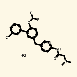 CN(C)CC(=O)Nc1ccc(Cc2ccc(OC(F)F)c(-c3cccc(Cl)c3)c2)cn1.Cl